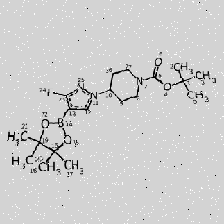 CC(C)(C)OC(=O)N1CCC(n2cc(B3OC(C)(C)C(C)(C)O3)c(F)n2)CC1